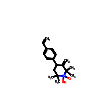 C=Cc1ccc(C2CC(C)(C)[N+]([O-])(O)C(C)(C)C2=C)cc1